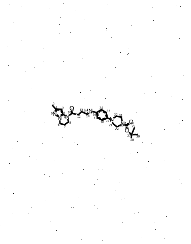 Cc1cc2n(n1)CCCN2C(=O)CCCNc1ccc(N2CCN(C(=O)OC(C)(C)C)CC2)cc1